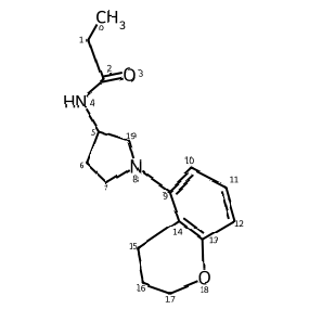 CCC(=O)NC1CCN(c2cccc3c2CCCO3)C1